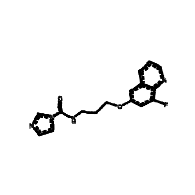 O=C(NCCCOc1cc(F)c2ncccc2c1)n1ccnc1